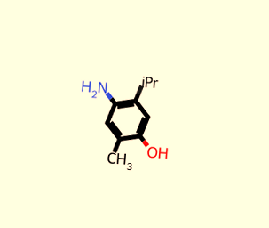 Cc1cc(N)c(C(C)C)cc1O